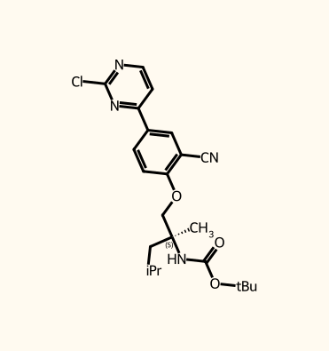 CC(C)C[C@@](C)(COc1ccc(-c2ccnc(Cl)n2)cc1C#N)NC(=O)OC(C)(C)C